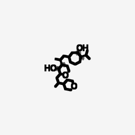 CC(CC1OCC[C@H](C(C)CC2CCC[C@H](C(C)C)[C@@H](O)C2)[C@H]1O)C1CCOCC1